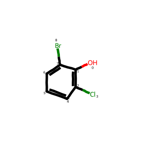 Oc1c(Cl)[c]ccc1Br